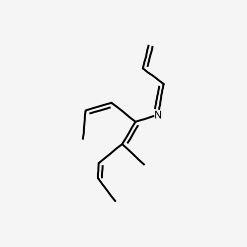 C=C\C=N/C(/C=C\C)=C(C)/C=C\C